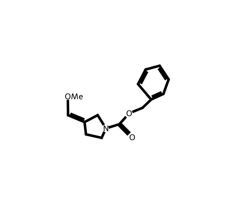 CO/C=C1/CCN(C(=O)OCc2ccccc2)C1